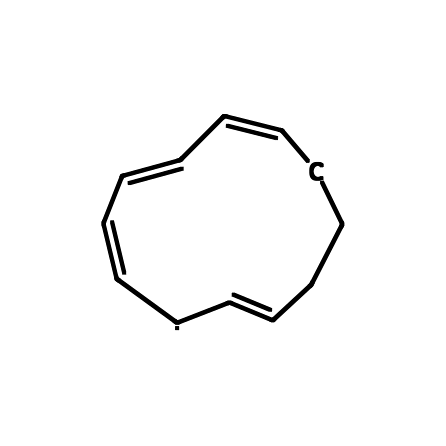 [CH]1\C=C/C=C/C=C\CCC/C=C/1